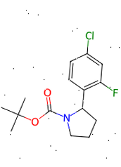 CC(C)(C)OC(=O)N1CCCC1c1ccc(Cl)cc1F